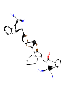 N#CC(C#N)=C1/C(=C/c2cc3sc4c5c(sc4c3s2)C=C(/C=C2\C(=O)c3ccccc3C2=C(C#N)C#N)C52CCCCC2)Cc2ccccc21